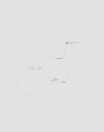 NC(=O)C1=CC=C2C=CN=CN=C2N1